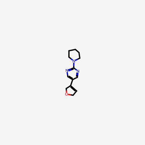 C1=C(c2cnc(N3CCCCC3)nc2)COC1